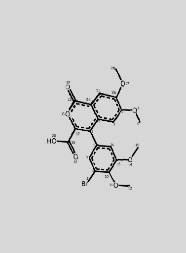 COc1cc2c(-c3cc(Br)c(OC)c(OC)c3)c(C(=O)O)oc(=O)c2cc1OC